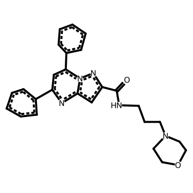 O=C(NCCCN1CCOCC1)c1cc2nc(-c3ccccc3)cc(-c3ccccc3)n2n1